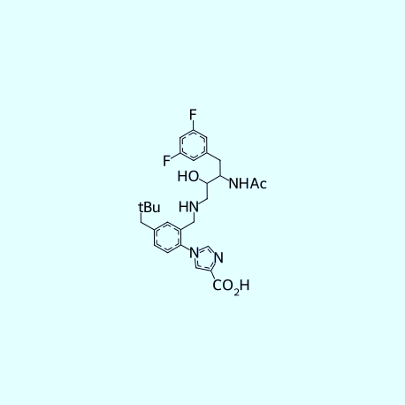 CC(=O)NC(Cc1cc(F)cc(F)c1)C(O)CNCc1cc(CC(C)(C)C)ccc1-n1cnc(C(=O)O)c1